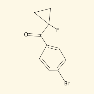 O=C(c1ccc(Br)cc1)C1(F)CC1